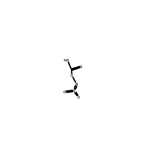 O=S(=O)=NOC(O)=S